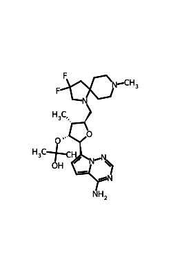 C[C@H]1[C@@H](OC(C)(C)O)[C@H](c2ccc3c(N)ncnn23)O[C@@H]1CN1CC(F)(F)CC12CCN(C)CC2